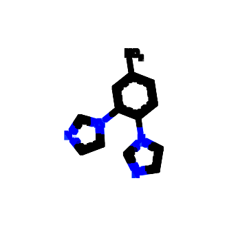 O=[N+]([O-])c1ccc(-n2ccnc2)c(-n2ccnc2)c1